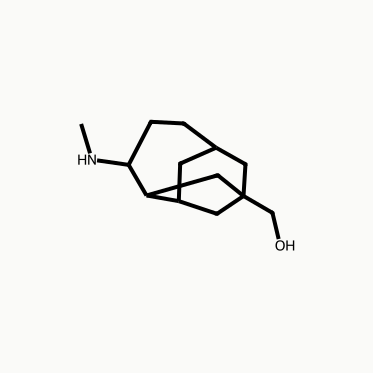 CNC1CCC2CC3CC(CO)(C2)CC31